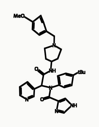 COc1ccc(CN2CCC(NC(=O)C(c3cccnc3)N(C(=O)c3c[nH]cn3)c3ccc(C(C)(C)C)cc3)CC2)cc1